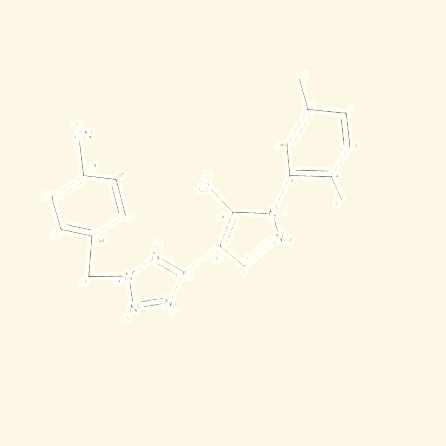 Cc1ccc(C)c(-n2ncc(-c3nnn(Cc4ccc(C#N)cc4)n3)c2Cl)c1